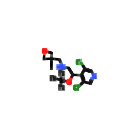 CC[Si](CC)(CC)OC(CNCC1(C)COC1)c1c(Cl)cncc1Cl